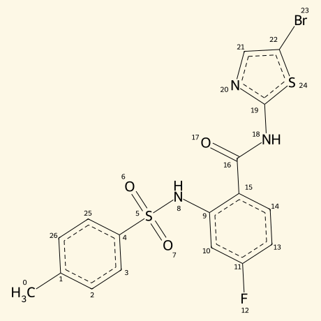 Cc1ccc(S(=O)(=O)Nc2cc(F)ccc2C(=O)Nc2ncc(Br)s2)cc1